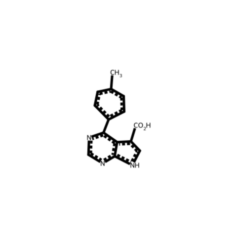 Cc1ccc(-c2ncnc3[nH]cc(C(=O)O)c23)cc1